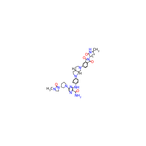 C=C1CCC(N2C(=O)c3ccc(N4CC[C@H]5CCN(c6ccc(Nc7nc(N8CCC[C@@H](N9CCN(C)C9=O)C8)cnc7C(N)=O)cc6)C[C@H]5C4)cc3C2=O)C(=O)N1